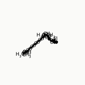 CC(C)[C@H](NC(=O)CCOCCOCCOCCOCCOCCOCCOCCOCCNC(=O)OC(C)(C)C)C(=O)N[C@@H](C)C(=O)Nc1ccc(COC(=O)N2C[C@@H](CCl)c3c2ccc2ccccc32)cc1